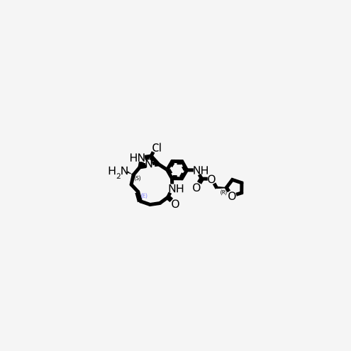 N[C@H]1C/C=C/CCC(=O)Nc2cc(NC(=O)OC[C@H]3CCCO3)ccc2-c2nc1[nH]c2Cl